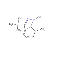 CC1C=CC=C2C(C(C)(C)C)=NN(C)C21